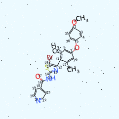 COc1ccc(Oc2cc(C)c(-c3nc(NC(=O)c4ccncc4)sc3Br)c(C)c2)cc1